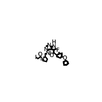 O=C(c1ccc(Oc2ccccc2)cc1F)c1c[nH]c2ncnc(NCC3CCCN3C(=O)CI)c12